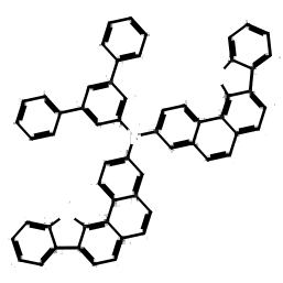 c1ccc(-c2cc(-c3ccccc3)cc(N(c3ccc4c(ccc5ccc6c7ccccc7oc6c54)c3)c3ccc4c(ccc5ccc6c7ccccc7oc6c54)c3)c2)cc1